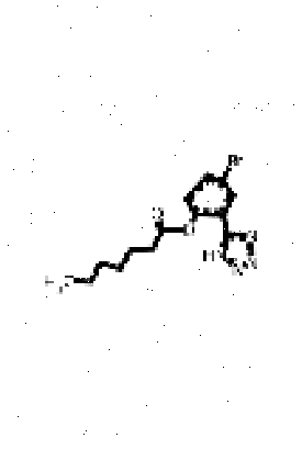 CCCCCCC(=O)Oc1ccc(Br)cc1-c1nnn[nH]1